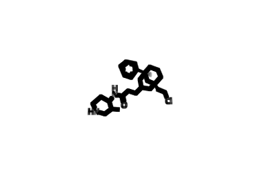 CC1CNCCC1NC(=O)CCC1C[C@@]2(CCCl)CCC[C@@](c3ccccc3)(C1)C2